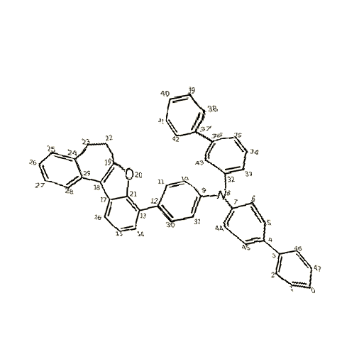 c1ccc(-c2ccc(N(c3ccc(-c4cccc5c6c(oc45)CCc4ccccc4-6)cc3)c3cccc(-c4ccccc4)c3)cc2)cc1